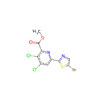 COC(=O)c1nc(-c2ncc(Br)s2)cc(Cl)c1Cl